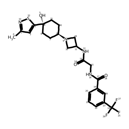 Cc1cc([C@]2(O)CC[C@H](N3CC(NC(=O)CNC(=O)c4cccc(C(F)(F)F)c4)C3)CC2)sn1